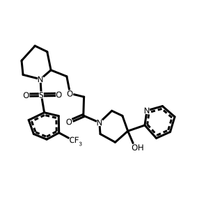 O=C(COCC1CCCCN1S(=O)(=O)c1cccc(C(F)(F)F)c1)N1CCC(O)(c2ccccn2)CC1